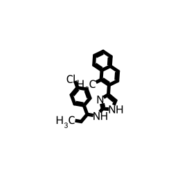 CCC(Nc1nc(-c2ccc3ccccc3c2C)c[nH]1)c1ccc(Cl)cc1